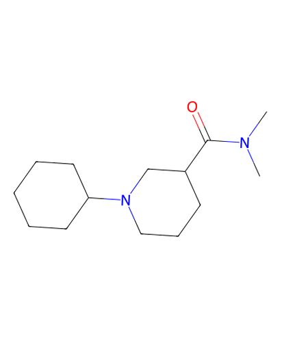 CN(C)C(=O)C1CCCN(C2CCCCC2)C1